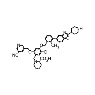 Cc1c(COc2cc(OCc3cncc(C#N)c3)c(CN3CCCC[C@H]3C(=O)O)cc2Cl)cccc1-c1ccc2oc(C3CCNCC3)nc2c1